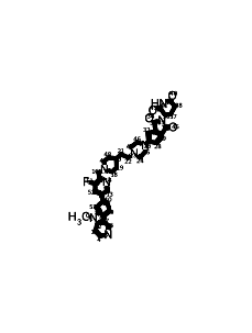 Cn1c2ccncc2c2ccc(-c3cnc(CN4CCC(CCN5CCN(c6ccc7c(c6)C(=O)N(C6CCC(=O)NC6=O)C7=O)CC5)CC4)c(F)c3)cc21